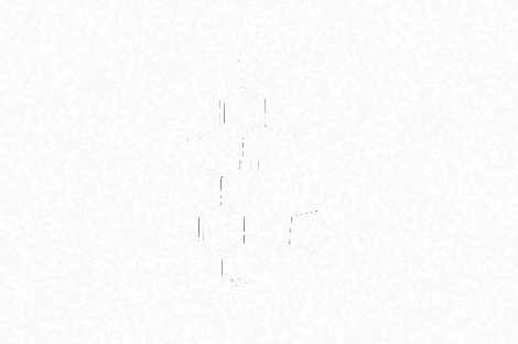 COc1ccc(C(=O)Nc2c(Cl)cc(C=O)cc2Cl)cc1OC1CCCC1